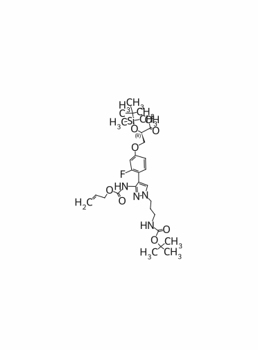 C=CCOC(=O)Nc1nn(CCCNC(=O)OC(C)(C)C)cc1-c1ccc(OC[C@@H](O[Si](C)(C)C(C)(C)C)C(=O)O)cc1F